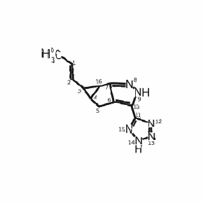 CC=CC1C2Cc3c(n[nH]c3-c3nn[nH]n3)C12